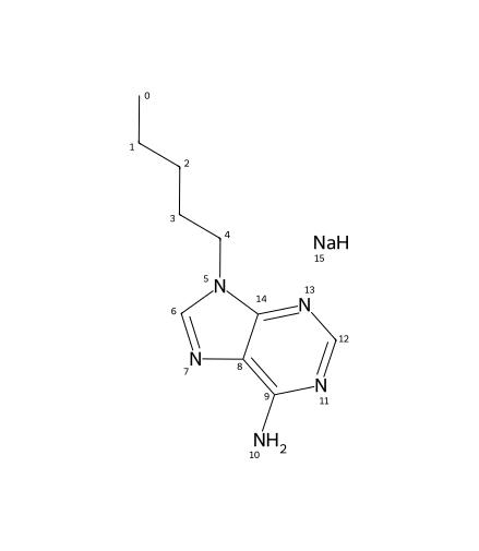 CCCCCn1cnc2c(N)ncnc21.[NaH]